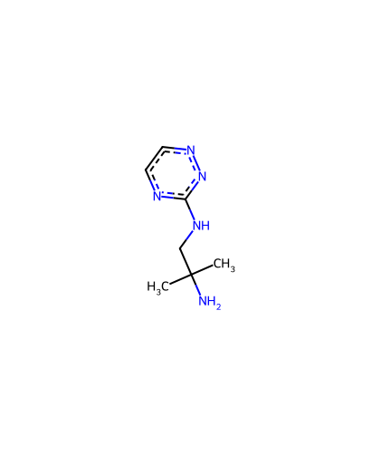 CC(C)(N)CNc1nccnn1